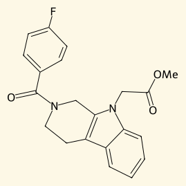 COC(=O)Cn1c2c(c3ccccc31)CCN(C(=O)c1ccc(F)cc1)C2